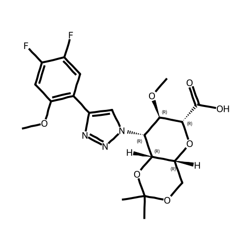 COc1cc(F)c(F)cc1-c1cn([C@H]2[C@H]3OC(C)(C)OC[C@H]3O[C@@H](C(=O)O)[C@@H]2OC)nn1